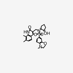 Cc1ccc2cc(CN([C@H]3CCC[C@H]3O)S(=O)(=O)c3ccc4c(c3)OCCN4C)c(=O)[nH]c2c1C